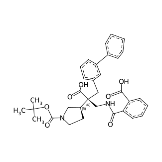 CC(C)(C)OC(=O)N1CC[C@H]([C@@](CNC(=O)c2ccccc2C(=O)O)(Cc2cccc(-c3ccccc3)c2)C(=O)O)C1